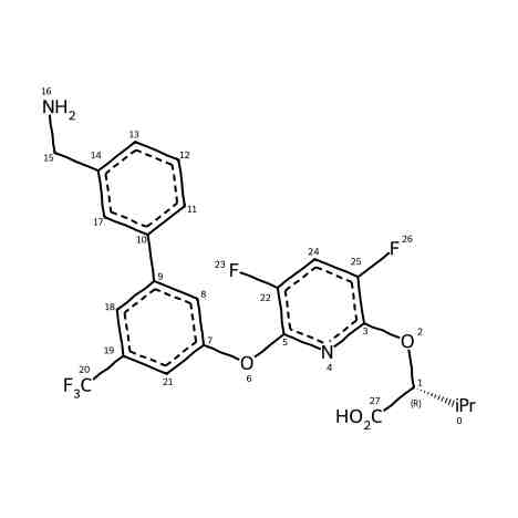 CC(C)[C@@H](Oc1nc(Oc2cc(-c3cccc(CN)c3)cc(C(F)(F)F)c2)c(F)cc1F)C(=O)O